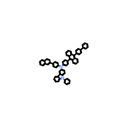 c1ccc(-c2ccc(-c3c4ccccc4c(-c4ccc(N(c5ccc(-c6ccc7ccccc7c6)cc5)c5ccc6c(c5)c5ccccc5n6-c5ccccc5)cc4)c4ccccc34)cc2)cc1